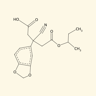 CCC(C)OC(=O)CC(C#N)(CC(=O)O)c1ccc2c(c1)OCO2